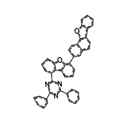 c1ccc(-c2nc(-c3ccccc3)nc(-c3cccc4oc5c(-c6ccc7c(ccc8c9ccccc9oc78)c6)cccc5c34)n2)cc1